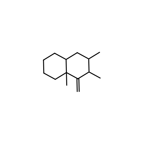 C=C1C(C)C(C)CC2CCCCC12C